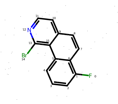 Fc1cccc2c1ccc1ccnc(Br)c12